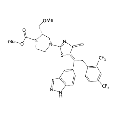 COC[C@@H]1CN(C2=NC(=O)C(=C(Cc3ccc(C(F)(F)F)cc3C(F)(F)F)c3ccc4[nH]ncc4c3)S2)CCN1C(=O)OC(C)(C)C